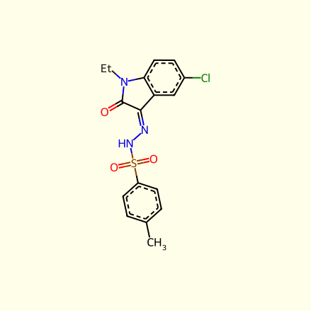 CCN1C(=O)C(=NNS(=O)(=O)c2ccc(C)cc2)c2cc(Cl)ccc21